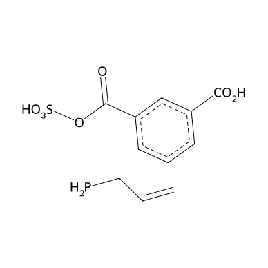 C=CCP.O=C(O)c1cccc(C(=O)OS(=O)(=O)O)c1